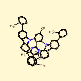 Cc1cc(C)nc(-c2c(-n3c4cc(-c5ccccc5C)ccc4c4ccc(-c5ccccc5C)cc43)cc(C#N)cc2-n2c3cc(-c4ccccc4C)ccc3c3ccc(-c4ccccc4C)cc32)n1